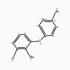 CCC(C)c1c([O])cccc1Oc1ccc(C(C)C)cc1